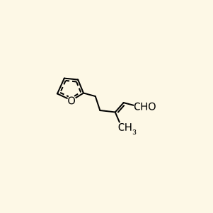 CC(=CC=O)CCc1ccco1